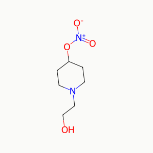 O=[N+]([O-])OC1CCN(CCO)CC1